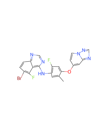 Cc1cc(Nc2ncnc3ccc(Br)c(F)c23)c(F)cc1Oc1ccn2ncnc2c1